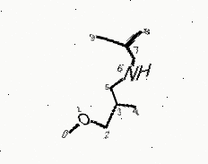 COCC(C)CNC(C)C